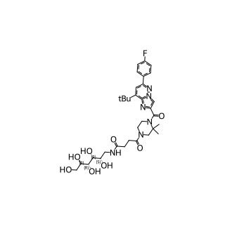 CC(C)(C)c1cc(-c2ccc(F)cc2)nn2cc(C(=O)N3CCN(C(=O)CCC(=O)NC[C@H](O)[C@@H](O)[C@H](O)[C@H](O)CO)CC3(C)C)nc12